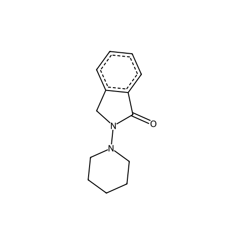 O=C1c2ccccc2CN1N1CCCCC1